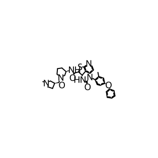 Cc1cc(Oc2ccccc2)ccc1N1C(=O)NC2c3c1ccnc3SC2C(=O)N[C@@H]1CCCN(C(=O)[C@H]2CCN(C)C2)C1